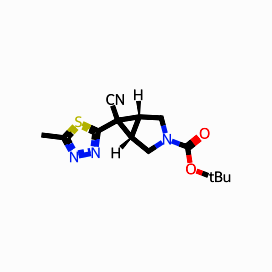 Cc1nnc(C2(C#N)[C@@H]3CN(C(=O)OC(C)(C)C)C[C@@H]32)s1